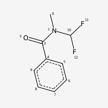 CN(C(=O)c1ccccc1)C(F)F